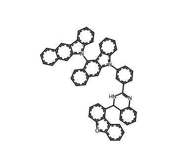 c1cc(C2=Nc3ccccc3C(c3cccc4oc5ccccc5c34)N2)cc(-n2c3ccccc3c3c(-n4c5ccccc5c5cc6ccccc6cc54)c4ccccc4cc32)c1